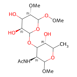 COOC1OC(OC2[C@H](O)C(C)OC(OC)[C@H]2NC(C)=O)[C@@H](O)C(O)[C@@H]1OC